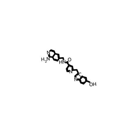 NC1=NC=CC2C=C(CNC(=O)c3ccnc(Cc4cnc5ccc(CO)cc5c4)c3)C=CC12